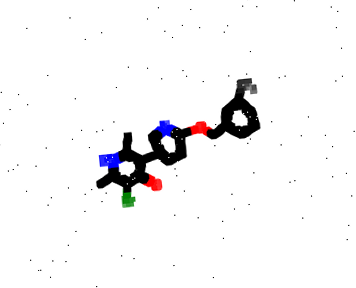 Cc1[nH]c(C)c(-c2ccc(OCc3cccc(C(F)(F)F)c3)nc2)c(=O)c1Br